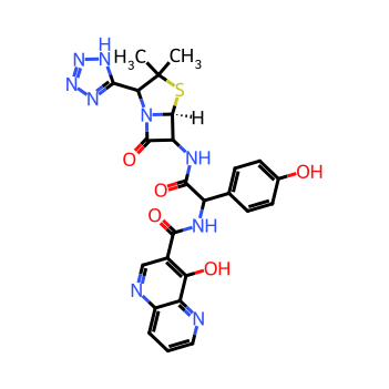 CC1(C)S[C@H]2C(NC(=O)C(NC(=O)c3cnc4cccnc4c3O)c3ccc(O)cc3)C(=O)N2C1c1nnn[nH]1